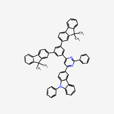 CC1(C)c2ccccc2-c2ccc(-c3cc(-c4ccc5c(c4)C(C)(C)c4ccccc4-5)cc(-c4cc(-c5ccc6c(c5)c5ccccc5n6-c5ccccc5)nc(-c5ccccc5)n4)c3)cc21